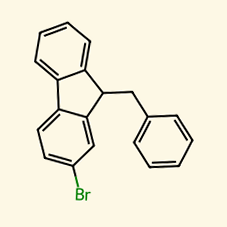 Brc1ccc2c(c1)C(Cc1ccccc1)c1ccccc1-2